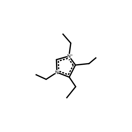 CCc1c(CC)[n+](CC)cn1CC